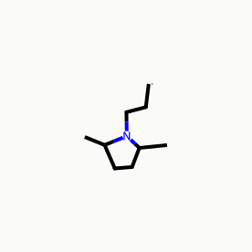 [CH2]CCN1C(C)CCC1C